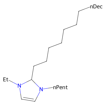 CCCCCCCCCCCCCCCCCC1N(CC)C=CN1CCCCC